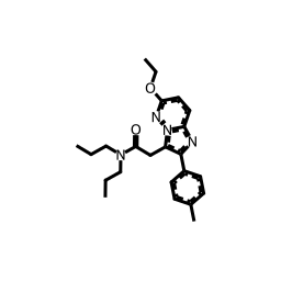 CCCN(CCC)C(=O)Cc1c(-c2ccc(C)cc2)nc2ccc(OCC)nn12